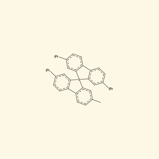 Cc1ccc2c(c1)S1(c3cc(C(C)C)ccc3-2)c2cc(C(C)C)ccc2-c2ccc(C(C)C)cc21